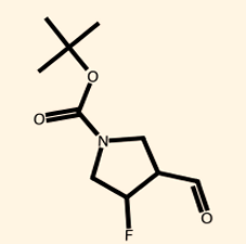 CC(C)(C)OC(=O)N1CC(F)C(C=O)C1